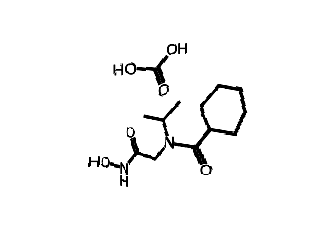 CC(C)N(CC(=O)NO)C(=O)C1CCCCC1.O=C(O)O